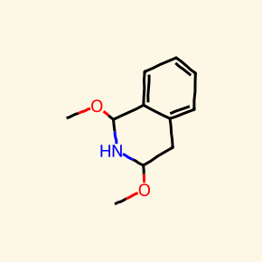 COC1Cc2ccccc2C(OC)N1